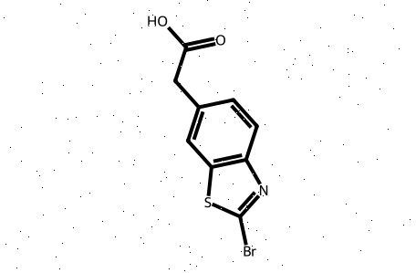 O=C(O)Cc1ccc2nc(Br)sc2c1